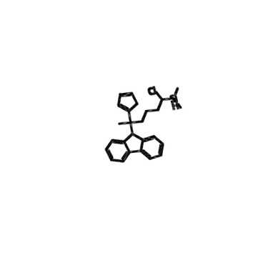 C[SiH](C)C(Cl)CCCC(C)(C1=CC=CC1)C1c2ccccc2-c2ccccc21